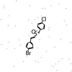 [O-][S+](C=Cc1ccc(Br)cc1)Cc1ccc(Cl)cc1